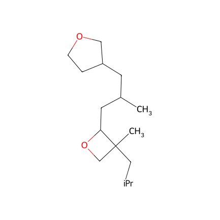 CC(C)CC1(C)COC1CC(C)CC1CCOC1